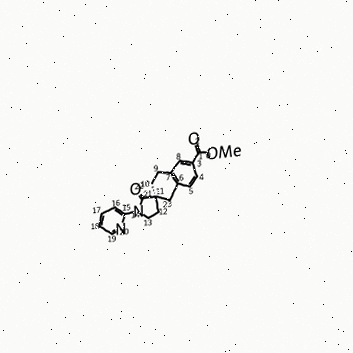 COC(=O)c1ccc2c(c1)CC[C@@]1(CCN(c3ccccn3)C1=O)C2